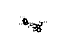 O=C(O)CC1CC2(CCN(C(=O)NC3C4CC5(O)CC3CC(O)(C4)C5)CC2)c2c(Br)cccc21